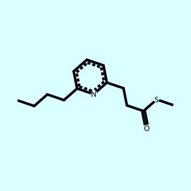 CCCCc1cccc(CCC(=O)SC)n1